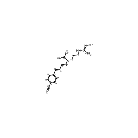 [H]/N=C(\N)NCCC[C@H](/N=C/C=C/c1ccc(C#N)cc1)C(=O)O